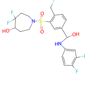 O=S(=O)(c1cc(C(O)Nc2ccc(F)c(F)c2)ccc1CF)N1CCC(O)C(F)(F)CC1